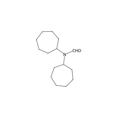 O=[C]N(C1CCCCCC1)C1CCCCCC1